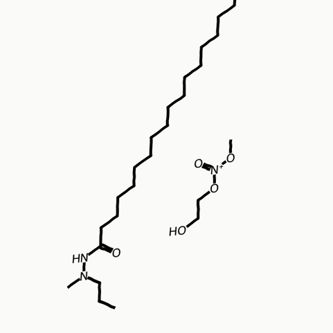 CCCCCCCCCCCCCCCCCC(=O)NN(C)CCC.CO[N+](=O)OCCO